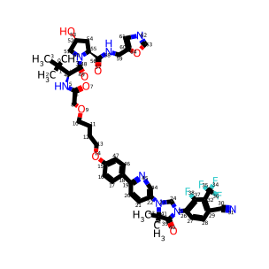 CC(C)(C)[C@H](NC(=O)COCCCCOc1ccc(-c2ccc(N3CN(c4ccc(C#N)c(C(F)(F)F)c4F)C(=O)C3(C)C)cn2)cc1)C(=O)N1C[C@H](O)C[C@H]1C(=O)NCc1cnco1